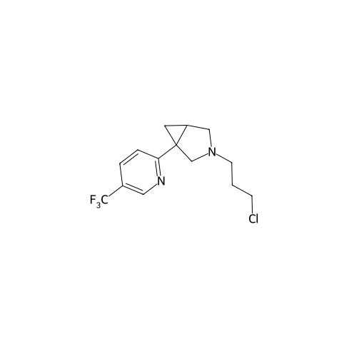 FC(F)(F)c1ccc(C23CC2CN(CCCCl)C3)nc1